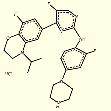 CC(C)N1CCOc2c(F)cc(-c3nc(Nc4ccc(N5CCNCC5)cc4F)ncc3F)cc21.Cl